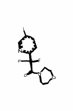 O=C(N1CCOCC1)C(F)(F)c1ccc(I)cn1